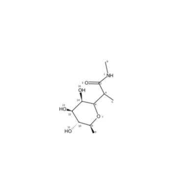 CNC(=O)C(C)C1O[C@@H](C)[C@H](O)[C@@H](O)[C@H]1O